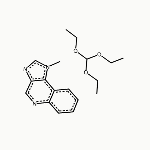 CCOC(OCC)OCC.Cn1cnc2cnc3ccccc3c21